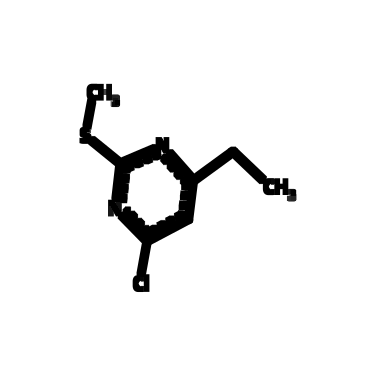 CCc1cc(Cl)nc(SC)n1